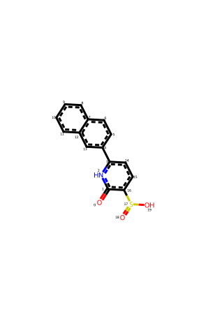 O=c1[nH]c(-c2ccc3ccccc3c2)ccc1S(=O)O